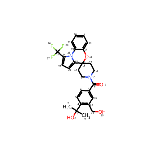 CC(C)(O)c1ccc(C(=O)N2CCC3(CC2)Oc2ccccc2-n2c(C(F)(F)F)ccc23)cc1CO